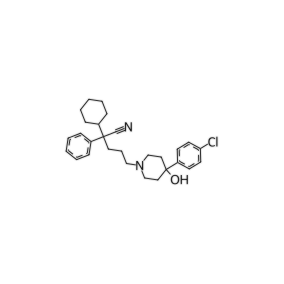 N#CC(CCCN1CCC(O)(c2ccc(Cl)cc2)CC1)(c1ccccc1)C1CCCCC1